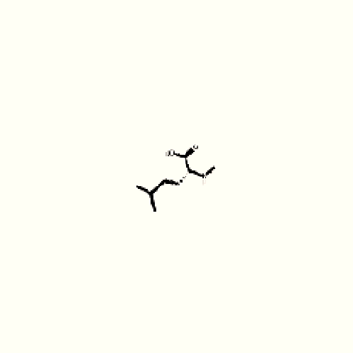 CN[C@H](CCC(C)C)C(=O)O